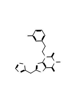 CCCn1c(=O)c2[nH]c(Cc3ncno3)nc2n(CCc2cccc([N+](=O)[O-])c2)c1=O